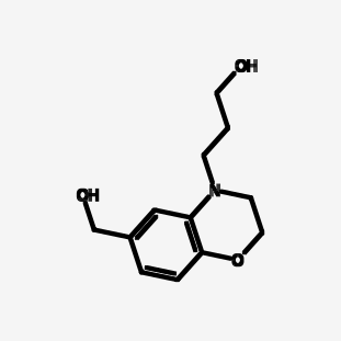 OCCCN1CCOc2ccc(CO)cc21